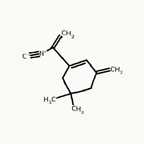 [C-]#[N+]C(=C)C1=CC(=C)CC(C)(C)C1